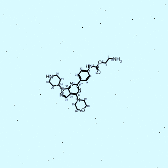 NCCOC(=O)Nc1ccc(-c2nc(N3CCOCC3)c3cnn(C4CCNCC4)c3n2)cc1